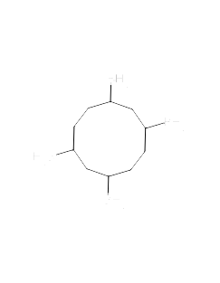 BC1CCC(B)CC(B)CCC(B)C1